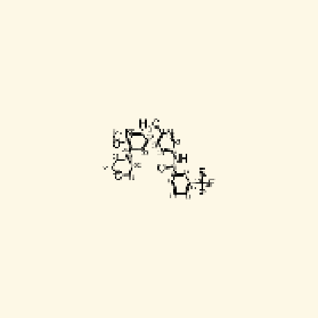 Cc1ncc(NC(=O)c2cccc(C(F)(F)F)c2)cc1-c1cnc(OI)c(N2CCOCC2)c1